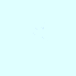 C=C(/C=C\C)NN(C)N(C)/C(N)=C(\C(=C)CC)c1ccc(O)cc1